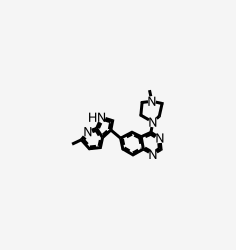 Cc1ccc2c(-c3ccc4ncnc(N5CCN(C)CC5)c4c3)c[nH]c2n1